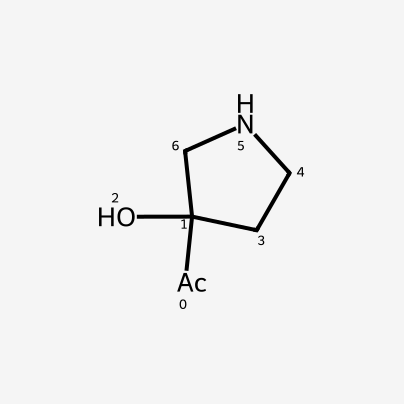 CC(=O)C1(O)CCNC1